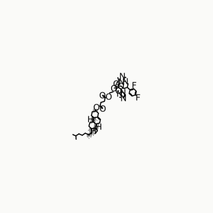 CCOP(=O)(OCCOC(=O)CCC(=O)O[C@H]1CC[C@@]2(C)C(=CC[C@H]3[C@@H]4CC[C@H]([C@H](C)CCCC(C)C)[C@@]4(C)CC[C@@H]32)C1)OC(C(Cn1cncn1)c1ccc(F)cc1F)n1cncn1